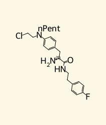 CCCCCN(CCCl)c1ccc(C[C@H](N)C(=O)NCCc2ccc(F)cc2)cc1